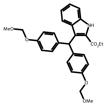 CCOC(=O)c1[nH]c2ccccc2c1C(c1ccc(OCOC)cc1)c1ccc(OCOC)cc1